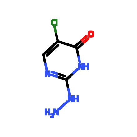 NNc1ncc(Cl)c(=O)[nH]1